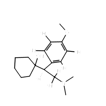 [2H]c1c([2H])c([C@]([2H])(C2(O)CCCCC2)C([2H])([2H])N(C)C)c([2H])c([2H])c1OC